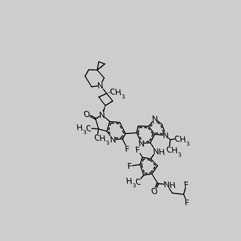 Cc1c(C(=O)NCC(F)F)cc(Nc2nc(-c3cc4c(nc3F)C(C)(C)C(=O)N4[C@H]3C[C@@](C)(N4CCCC5(CC5)C4)C3)cc3ncn(C(C)C)c23)c(F)c1F